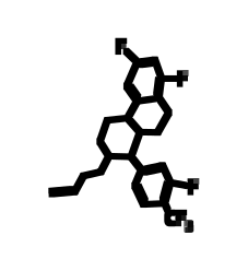 C=CCCC1CCC2c3cc(F)cc(F)c3CCC2C1c1ccc(C(F)(F)F)c(F)c1